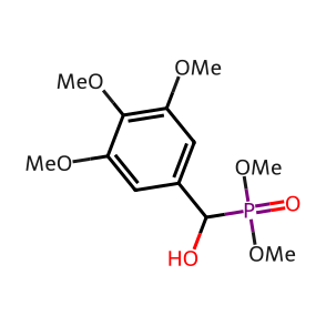 COc1cc(C(O)P(=O)(OC)OC)cc(OC)c1OC